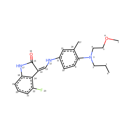 CCCN(CCOC)c1ccc(NC=C2C(=O)Nc3cccc(F)c32)cc1C